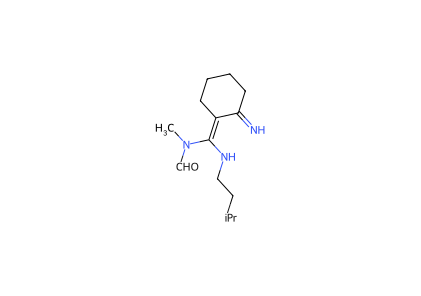 CC(C)CCN/C(=C1/CCCCC1=N)N(C)C=O